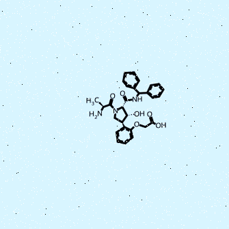 C[C@H](N)C(=O)N1C[C@H](c2ccccc2OCC(=O)O)[C@@H](O)[C@H]1C(=O)NC(c1ccccc1)c1ccccc1